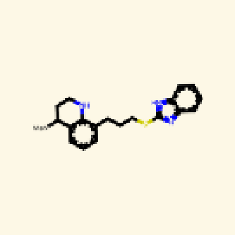 CNC1CCNc2c(CCCSc3nc4ccccc4[nH]3)cccc21